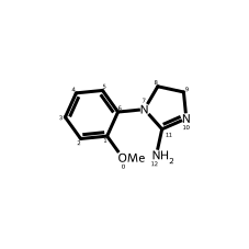 COc1ccccc1N1CCN=C1N